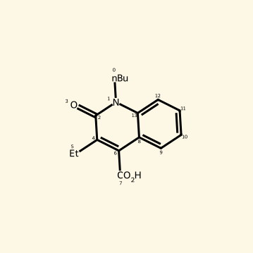 CCCCn1c(=O)c(CC)c(C(=O)O)c2ccccc21